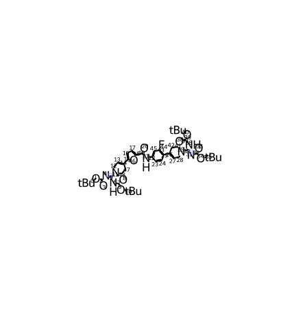 CC(C)(C)OC(=O)/N=C(\NC(=O)OC(C)(C)C)N1CC=C(c2ccc(C(=O)Nc3ccc(C4=CCN(/C(=N/C(=O)OC(C)(C)C)NC(=O)OC(C)(C)C)CC4)c(F)c3)o2)CC1